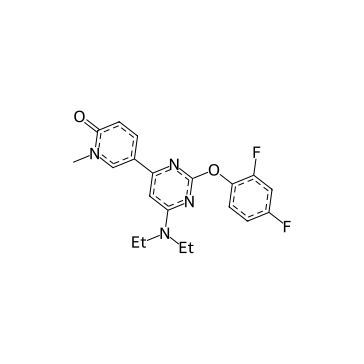 CCN(CC)c1cc(-c2ccc(=O)n(C)c2)nc(Oc2ccc(F)cc2F)n1